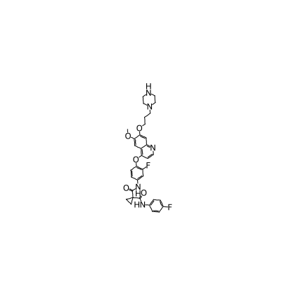 COc1cc2c(Oc3ccc(NC(=O)C4(C(=O)Nc5ccc(F)cc5)CC4)cc3F)ccnc2cc1OCCCN1CCNCC1